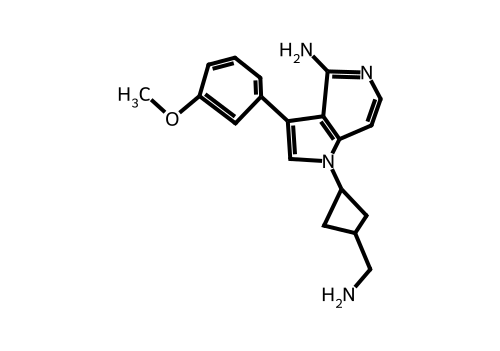 COc1cccc(-c2cn(C3CC(CN)C3)c3ccnc(N)c23)c1